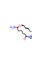 C=CC=CCC.NC(=O)CCCCC(=O)N1CC1